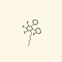 CCCCCCc1c(F)c(F)c(F)c(-c2ccccc2)c1-c1ccccc1F